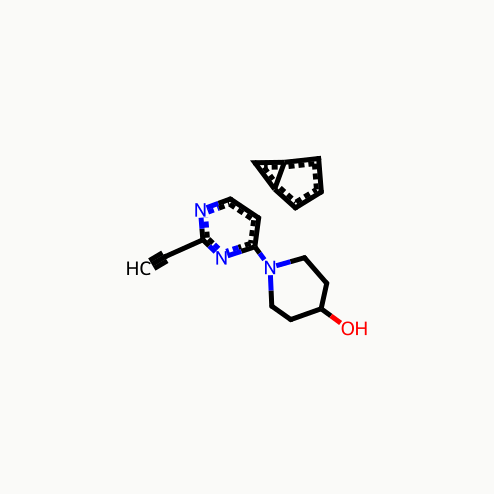 C#Cc1nccc(N2CCC(O)CC2)n1.c1cc2cc-2c1